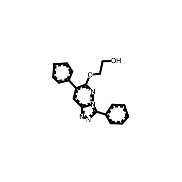 OCCOc1nn2c(-c3ccccc3)nnc2cc1-c1ccccc1